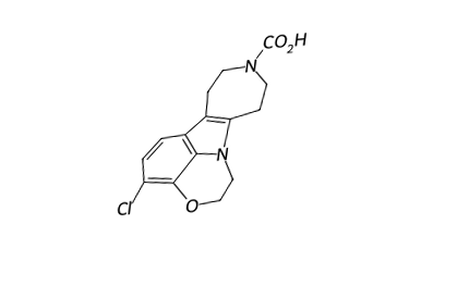 O=C(O)N1CCc2c(n3c4c(c(Cl)ccc24)OCC3)CC1